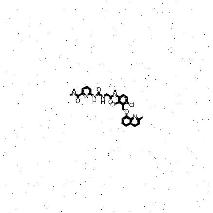 Cc1ccc2cccc(OCc3c(Cl)ccc(N(C)C(=O)CNC(=O)Nc4cccc(C(=O)N(C)C)n4)c3Cl)c2n1